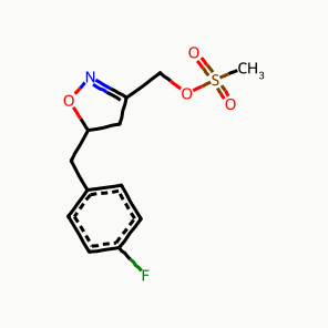 CS(=O)(=O)OCC1=NOC(Cc2ccc(F)cc2)C1